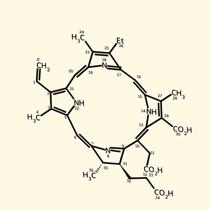 C=Cc1c(C)c2cc3nc(c(CC(=O)O)c4[nH]c(cc5nc(cc1[nH]2)C(C)=C5CC)c(C)c4C(=O)O)[C@@H](CCC(=O)O)[C@@H]3C